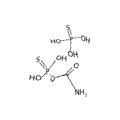 NC(=O)OP(O)(O)=S.OP(O)(O)=S